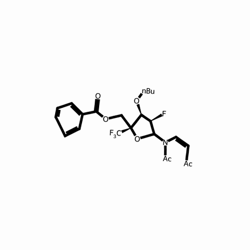 CCCCO[C@H]1[C@@H](F)C(N(/C=C\C(C)=O)C(C)=O)O[C@@]1(COC(=O)c1ccccc1)C(F)(F)F